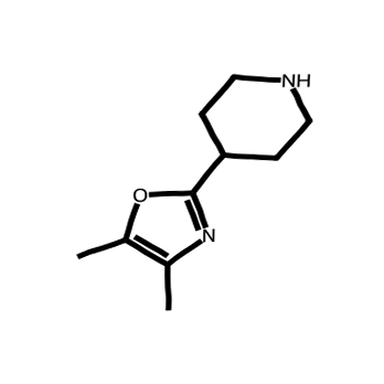 Cc1nc(C2CCNCC2)oc1C